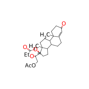 CCC(=O)O[C@]1(C(=O)COC(C)=O)CCC2C3CCC4=CC(=O)CCC4(C)C3CCC21C